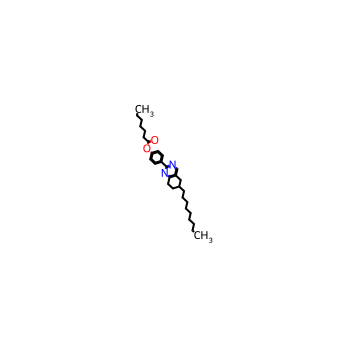 CCCCCCCCCC1CCc2nc(-c3ccc(OC(=O)CCCCCC)cc3)ncc2C1